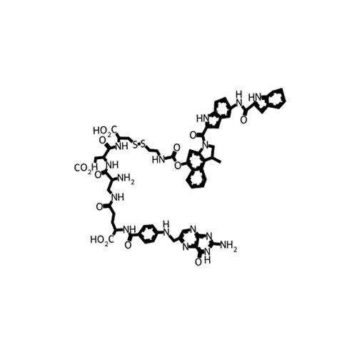 CC1CN(C(=O)c2cc3cc(NC(=O)c4cc5ccccc5[nH]4)ccc3[nH]2)c2cc(OC(=O)NCCSSCC(NC(=O)C(CC(=O)O)NC(=O)C(N)CNC(=O)CCC(NC(=O)c3ccc(NCc4cnc5nc(N)[nH]c(=O)c5n4)cc3)C(=O)O)C(=O)O)c3ccccc3c21